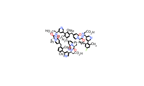 COc1c(Cc2ccn([C@@H](CC(C)C)C(=O)N[C@@H](CC(=O)O)c3cncc(-c4c(C)cc(F)cc4C)c3)c(=O)c2)ccc(C)c1-c1cncc([C@H](CC(=O)O)NC(=O)[C@@H](CC(C)C)n2ccc(Cc3ccc(C)c(-c4cncc([C@H](CC(=O)O)NC(=O)[C@H](CC(C)C)n5ccc(C)cc5=O)c4)c3OC)cc2=O)c1